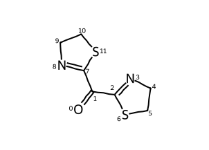 O=C(C1=NCCS1)C1=NCCS1